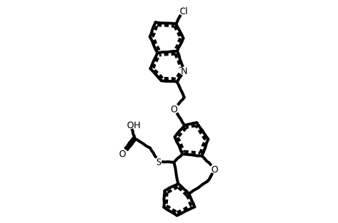 O=C(O)CSC1c2ccccc2COc2ccc(OCc3ccc4ccc(Cl)cc4n3)cc21